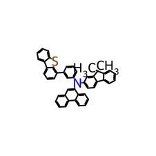 CC1(C)c2ccccc2-c2ccc(N(c3cccc(-c4cccc5c4sc4ccccc45)c3)c3cc4ccccc4c4ccccc34)cc21